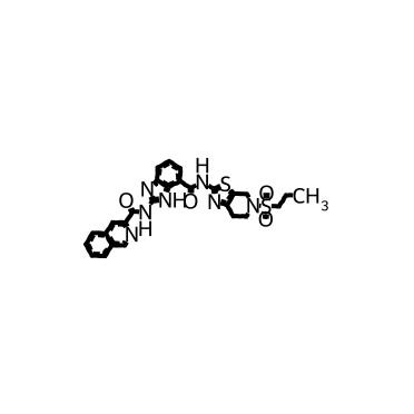 CCCS(=O)(=O)N1CCc2nc(NC(=O)c3cccc4nc(NC(=O)c5cc6ccccc6cn5)[nH]c34)sc2C1